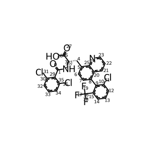 O=C(N[C@@H](Cc1ccc(-c2c(Cl)cccc2C(F)(F)F)c2cccnc12)C(=O)O)c1c(Cl)cccc1Cl